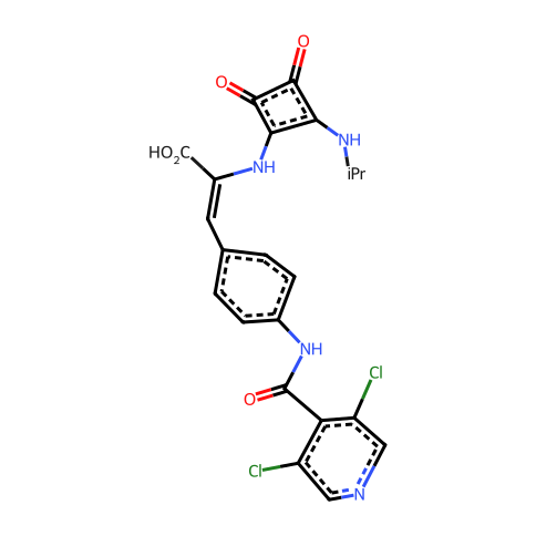 CC(C)Nc1c(NC(=Cc2ccc(NC(=O)c3c(Cl)cncc3Cl)cc2)C(=O)O)c(=O)c1=O